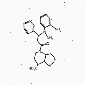 Nc1ccccc1N(N)C(CC(=O)N1CCC(C(=O)O)C2CCCCC21)c1ccccc1